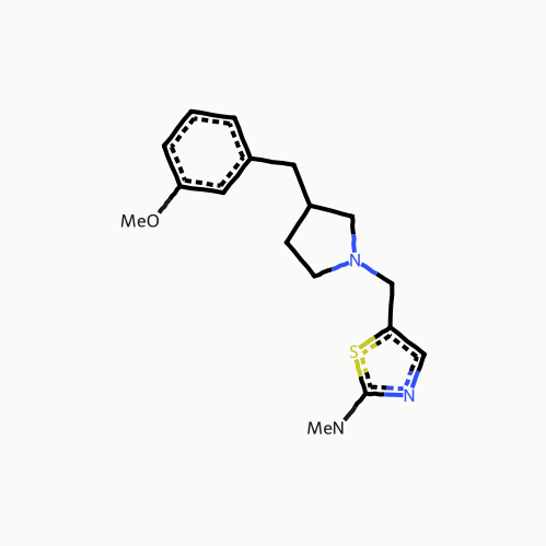 CNc1ncc(CN2CCC(Cc3cccc(OC)c3)C2)s1